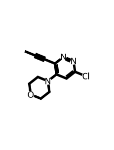 CC#Cc1nnc(Cl)cc1N1CCOCC1